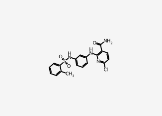 Cc1ccccc1S(=O)(=O)Nc1cccc(Nc2nc(Cl)ccc2C(N)=O)c1